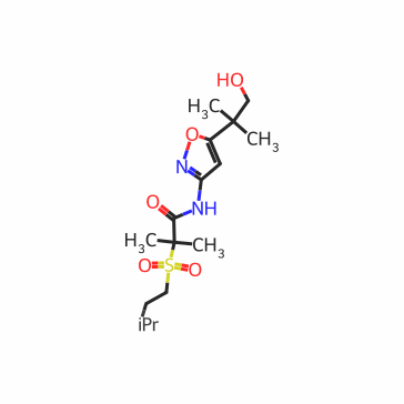 CC(C)CCS(=O)(=O)C(C)(C)C(=O)Nc1cc(C(C)(C)CO)on1